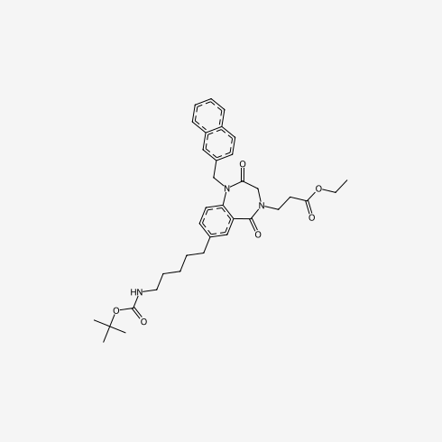 CCOC(=O)CCN1CC(=O)N(Cc2ccc3ccccc3c2)c2ccc(CCCCCNC(=O)OC(C)(C)C)cc2C1=O